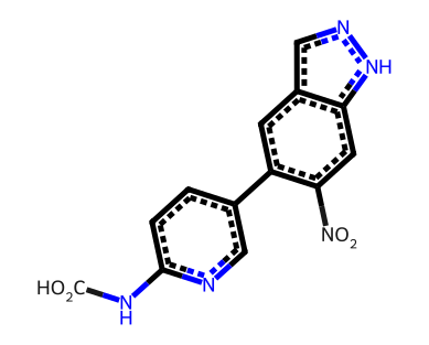 O=C(O)Nc1ccc(-c2cc3cn[nH]c3cc2[N+](=O)[O-])cn1